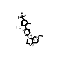 CCN1CC[C@H]2OCCN(c3ccc(-c4c(C)cc(C(F)(F)F)cc4O)nn3)[C@H]2C1